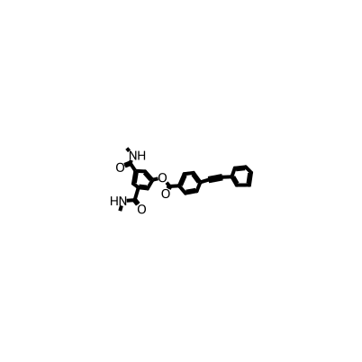 CNC(=O)c1cc(OC(=O)c2ccc(C#Cc3ccccc3)cc2)cc(C(=O)NC)c1